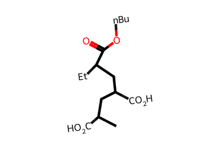 CCCCOC(=O)C(CC)CC(CC(C)C(=O)O)C(=O)O